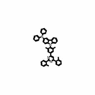 Cc1ccccc1-c1cc(-c2cc(C)c(-n3c4ccccc4c4cc(N(c5ccccc5)c5ccccc5)ccc43)c(C)c2)nc(-c2ccccc2C)n1